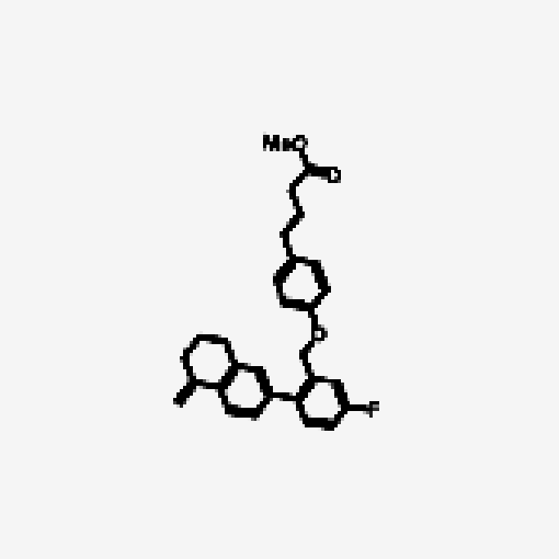 C=C1CCCc2cc(-c3ccc(F)cc3COc3ccc(CCCC(=O)OC)cc3)ccc21